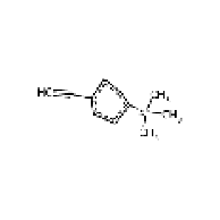 C#Cc1ccc([Si](C)(C)C)cc1